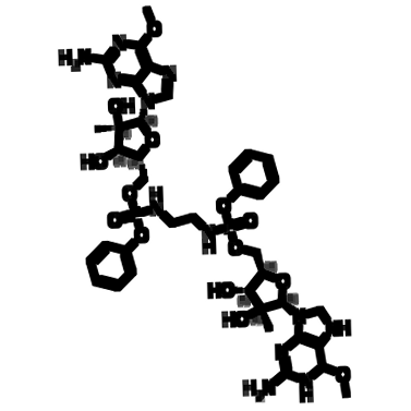 COc1nc(N)nc2c1ncn2[C@@H]1O[C@H](COP(=O)(NCCNP(=O)(OC[C@H]2O[C@@H](N3CNC4=C3N=C(N)NC4OC)[C@](C)(O)[C@@H]2O)Oc2ccccc2)Oc2ccccc2)[C@@H](O)[C@@]1(C)O